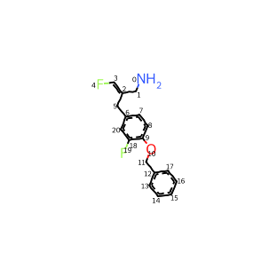 NC/C(=C/F)Cc1ccc(OCc2ccccc2)c(F)c1